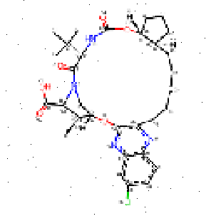 C[C@@H]1[C@@H]2CN(C(=O)[C@H](C(C)(C)C)NC(=O)O[C@@H]3CCC[C@H]3CCCCCc3nc4ccc(Cl)cc4nc3O2)[C@@H]1C(=O)O